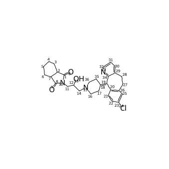 O=C1C2CCCCC2C(=O)N1CC(O)CN1CCC(=C2c3ccc(Cl)cc3CCc3cccnc32)CC1